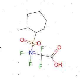 CC1CCCCC1S(=O)(=O)[N+](F)(F)C(F)(F)C(=O)O